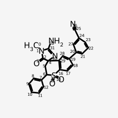 CN1C(=O)C2(CC(c3ccccc3)S(=O)(=O)c3ccc(-c4cccc(C#N)c4)cc32)N=C1N